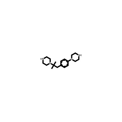 CC(C)(Cc1ccc(N2CCNCC2)cc1)N1CCNCC1